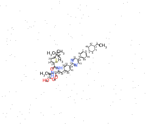 CC[C@H]1CC[C@H](c2ccc(-c3cnc(-c4ccc(C[C@H](NC(=O)c5ccc(C(C)(C)C)s5)C(=O)N[C@@H](C)C(=O)O)cc4)nc3)cc2)CC1